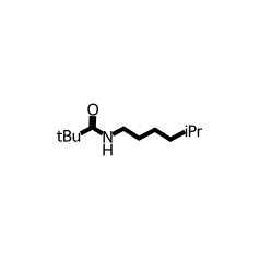 CC(C)CCCCNC(=O)C(C)(C)C